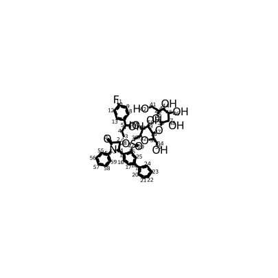 O=C1[C@H](CCC(O)c2ccc(F)cc2)C(c2ccc(-c3ccccc3)cc2S(=O)(=O)CC2OC(CO)C(OC3OC(CO)C(O)C(O)C3O)C(O)C2O)N1c1ccccc1